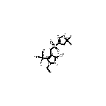 CCn1nc(Cl)c(CS(=O)(=O)C2=NOC(C)(C)C2)c1C(F)(F)F